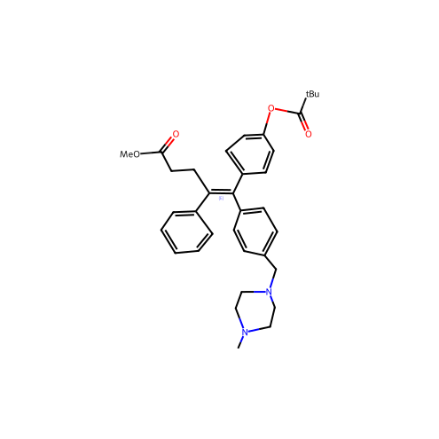 COC(=O)CC/C(=C(/c1ccc(CN2CCN(C)CC2)cc1)c1ccc(OC(=O)C(C)(C)C)cc1)c1ccccc1